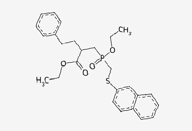 CCOC(=O)C(CCc1ccccc1)CP(=O)(CSc1ccc2ccccc2c1)OCC